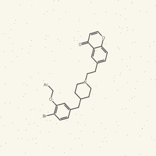 CC(=O)COc1cc(CC2CCN(CCc3ccc4occc(=O)c4c3)CC2)ccc1Br